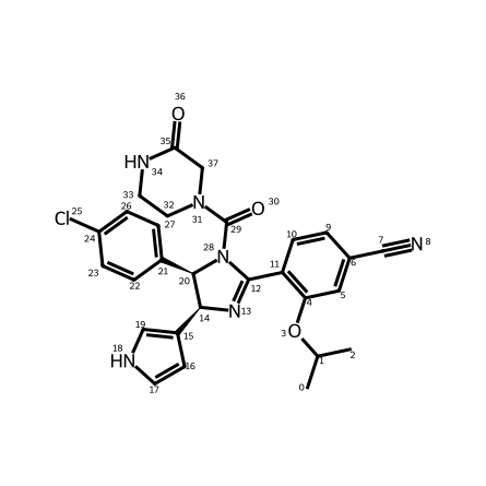 CC(C)Oc1cc(C#N)ccc1C1=N[C@@H](c2cc[nH]c2)[C@@H](c2ccc(Cl)cc2)N1C(=O)N1CCNC(=O)C1